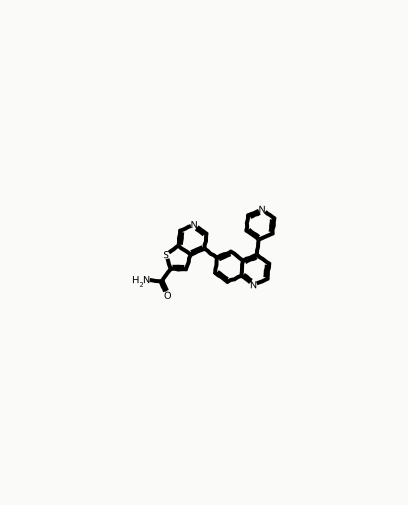 NC(=O)c1cc2c(-c3ccc4nccc(-c5ccncc5)c4c3)cncc2s1